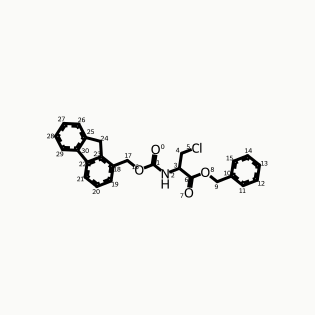 O=C(NC(CCl)C(=O)OCc1ccccc1)OCc1cccc2c1Cc1ccccc1-2